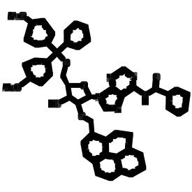 COc1ccc(C(OC[C@H]2O[C@@H](n3cnc4c(NC(=O)c5ccccc5)ncnc43)C(OCc3ccc4ccc5cccc6ccc3c4c56)C2O)(c2ccccc2)c2ccc(OC)cc2)cc1